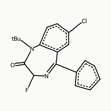 CC(C)(C)N1C(=O)C(F)N=C(c2ccccc2)c2cc(Cl)ccc21